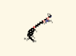 CC/C=C\COC[C@H](COCCCCCCCCO[C@H]1CCC2(C)C(=CC[C@@H]3[C@@H]2CC[C@]2(C)[C@@H]([C@H](C)CCCC(C)C)CC[C@@H]32)C1)N(C)C